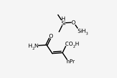 CCC/C(=C/C(N)=O)C(=O)O.C[SiH](C)O[SiH3]